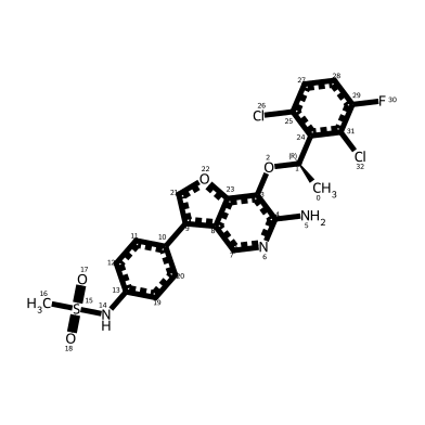 C[C@@H](Oc1c(N)ncc2c(-c3ccc(NS(C)(=O)=O)cc3)coc12)c1c(Cl)ccc(F)c1Cl